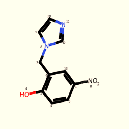 O=[N+]([O-])c1ccc(O)c(Cn2ccnc2)c1